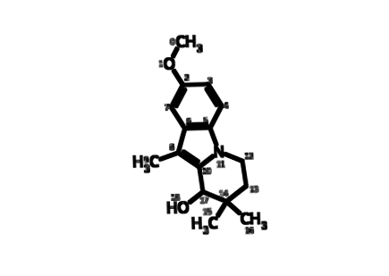 COc1ccc2c(c1)c(C)c1n2CCC(C)(C)C1O